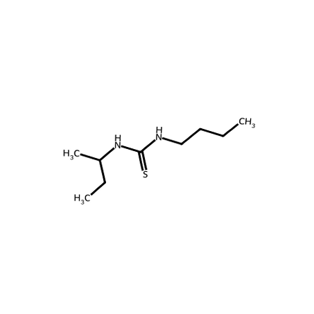 CCCCNC(=S)NC(C)CC